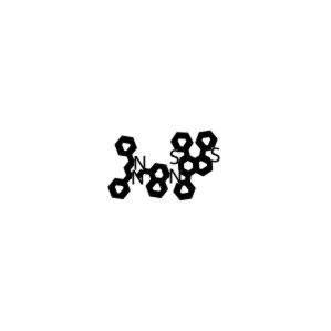 c1ccc(-c2cc(-c3ccccc3)nc(-c3ccc(-n4c5ccccc5c5c6ccc7sc8ccccc8c7c6c6c7ccccc7sc6c54)c4ccccc34)n2)cc1